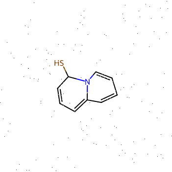 SC1C=CC=C2C=CC=CN21